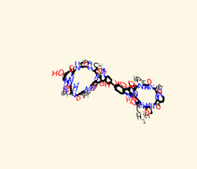 CC(C)C[C@@H]1NC(=O)[C@H]2CCCNN2C(=O)[C@H](C(C)C)NC(=O)[C@@H](C(C)C)NC(=O)[C@@H]2C[C@@]3(O)c4cc(-c5ccc6c(c5)[C@]5(O)C[C@H]7C(=O)N[C@H](C(C)C)C(=O)N[C@@H](C(C)C)C(=O)N8NC[C@H](O)C[C@@H]8C(=O)N[C@@H](CC(C)C)C(=O)N[C@H]([C@H](C)O)C(=O)N7[C@@H]5N6)ccc4N[C@H]3N2C(=O)[C@@H]([C@H](C)O)NC1=O